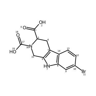 O=C(O)C1Cc2c([nH]c3cc(Br)ccc23)CN1C(=O)O